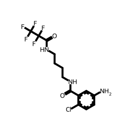 Nc1ccc(Cl)c(C(=O)NCCCCNC(=O)C(F)(F)C(F)(F)F)c1